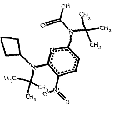 CC(C)(C)N(C(=O)O)c1ccc([N+](=O)[O-])c(N(C2CCC2)C(C)(C)C)n1